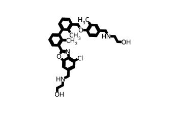 Cc1cc(CNCCO)ccc1OCc1cccc(-c2cccc(-c3nc4c(Cl)cc(CNCCO)cc4o3)c2C)c1C